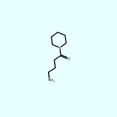 NCCCC(=O)N1CCCCC1